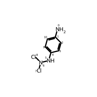 Nc1ccc(NN(Cl)Cl)cc1